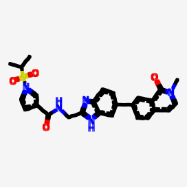 CC(C)S(=O)(=O)n1ccc(C(=O)NCc2nc3ccc(-c4ccc5ccn(C)c(=O)c5c4)cc3[nH]2)c1